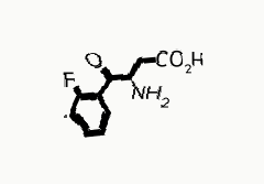 N[C@@H](CC(=O)O)C(=O)c1ccc[c]c1F